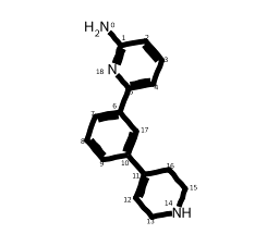 Nc1cccc(-c2cccc(C3=CCNCC3)c2)n1